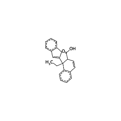 CCC1(C2=Cc3ccccc3C2)c2ccccc2C=CC1C(=O)O